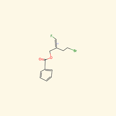 O=C(OC/C(=C\F)CCBr)c1ccccc1